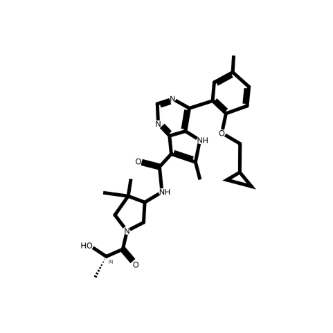 Cc1ccc(OCC2CC2)c(-c2ncnc3c(C(=O)NC4CN(C(=O)[C@H](C)O)CC4(C)C)c(C)[nH]c23)c1